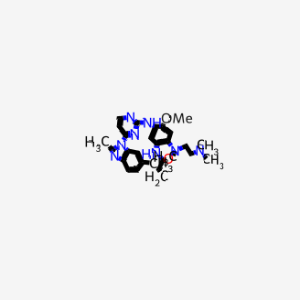 C=CC(=O)Nc1cc(Nc2nccc(-n3c(C)nc4ccc(C)cc43)n2)c(OC)cc1N(C)CCN(C)C